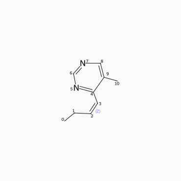 CC/C=C\c1ncncc1C